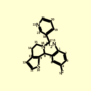 Nc1ccc(F)cc1C1c2sccc2CCN1Cc1cccnc1